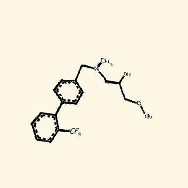 CN(Cc1ccc(-c2ccccc2C(F)(F)F)cc1)CC(O)COC(C)(C)C